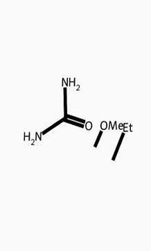 CCC.COC.NC(N)=O